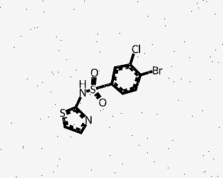 O=S(=O)(Nc1nccs1)c1ccc(Br)c(Cl)c1